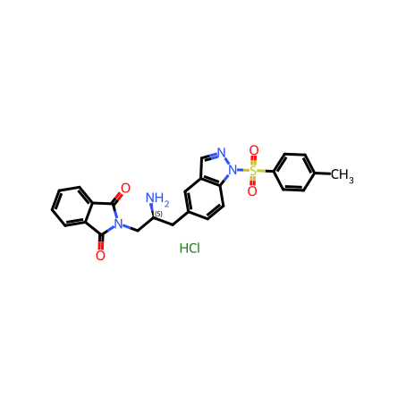 Cc1ccc(S(=O)(=O)n2ncc3cc(C[C@H](N)CN4C(=O)c5ccccc5C4=O)ccc32)cc1.Cl